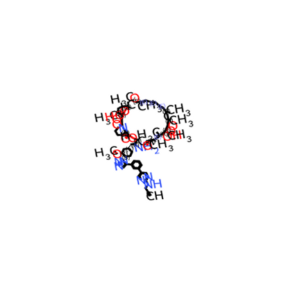 C#CCNc1ncc(-c2cccc(-c3cnnn3[C@H]3CC[C@@H](C[C@@H](N)[C@@H]4CC(=O)[C@H](C)/C=C(\C)[C@@H](O)[C@@H](OC)C(=O)[C@H](C)C[C@H](C)/C=C/C=C/C=C(\C)[C@@H](OC)C[C@@H]5CC[C@@H](C)[C@@](O)(O5)C(=O)C(=O)N5CCCC[C@H]5C(=O)O4)C[C@H]3OC)c2)cn1